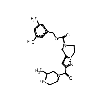 CC1CN(C(=O)c2cc3n(n2)CCN(C(=O)OCc2cc(C(F)(F)F)cc(C(F)(F)F)c2)C3)CCN1